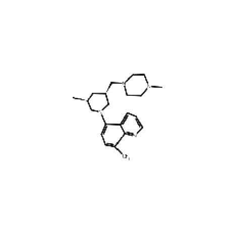 C[C@H]1C[C@@H](CN2CCN(C)CC2)CN(c2ccc(C(F)(F)F)c3ncccc23)C1